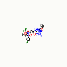 C[C@H](Oc1cc(-c2n[nH]c(Nc3cc(C45CC6CC(CC(C6)C4)C5)on3)c2C(N)=O)ccc1NS(=O)(=O)C(F)F)c1ccc(F)cc1